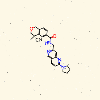 C[C@@]1(C#N)COCc2ccc(C(=O)NCc3cc4nc(N5CCCC5)ccc4cn3)cc21